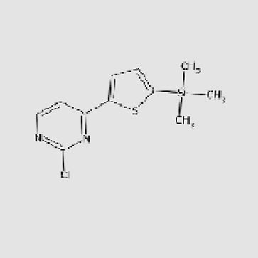 C[Si](C)(C)c1ccc(-c2ccnc(Cl)n2)s1